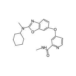 CNC(=O)c1cc(Oc2ccc3nc(N(C)C4CCCCC4)oc3c2)ccn1